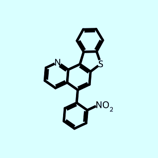 O=[N+]([O-])c1ccccc1-c1cc2sc3ccccc3c2c2ncccc12